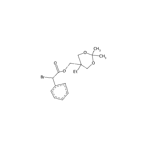 CCC1(COC(=O)C(Br)c2ccccc2)COC(C)(C)OC1